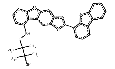 CC(C)(O)C(C)(C)OBc1cccc2oc3cc4nc(-c5cccc6c5sc5ccccc56)oc4cc3c12